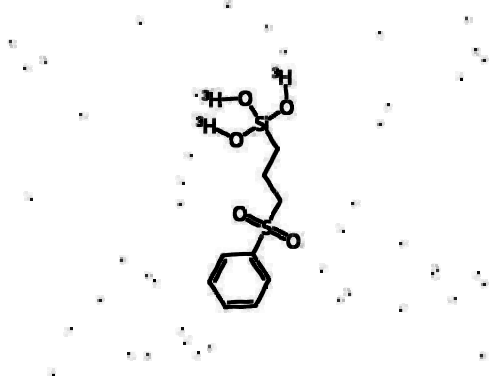 [3H]O[Si](CCCS(=O)(=O)c1ccccc1)(O[3H])O[3H]